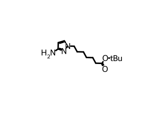 CC(C)(C)OC(=O)CCCCCCn1ccc(N)n1